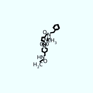 C=CC(=O)NCC1CCN(S(=O)(=O)c2ccc(C(=O)NCCc3ccccc3)n2C)CC1